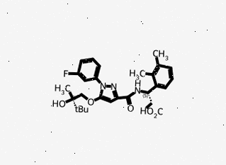 Cc1cccc([C@H](CC(=O)O)NC(=O)c2cc(OC[C@](C)(O)C(C)(C)C)n(-c3cccc(F)c3)n2)c1C